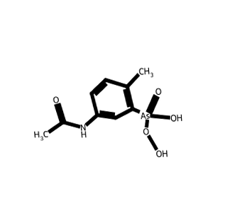 CC(=O)Nc1ccc(C)c([As](=O)(O)OO)c1